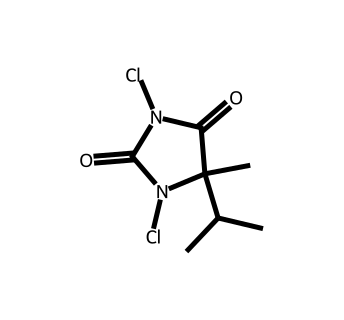 CC(C)C1(C)C(=O)N(Cl)C(=O)N1Cl